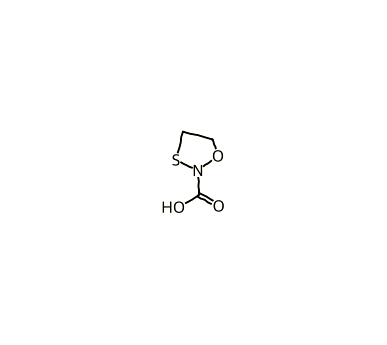 O=C(O)N1OCCS1